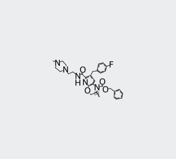 C[C@H]1COc2nc(C(=O)NCCN3CCN(C)CC3)c(Cc3ccc(F)cc3)cc2N1C(=O)OCc1ccccc1